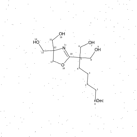 CCCCCCCCCCCCCCC(CO)(CO)C1=NC(CO)(CO)CO1